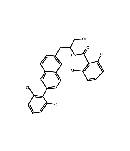 O=C(NC(CO)Cc1ccc2nc(-c3c(Cl)cccc3Cl)ccc2c1)c1c(Cl)cccc1Cl